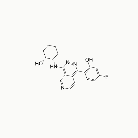 Oc1cc(F)ccc1-c1nnc(N[C@H]2CCCC[C@H]2O)c2cnccc12